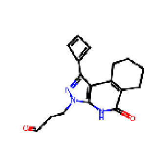 O=CCCn1nc(C2=CC=C2)c2c3c(c(=O)[nH]c21)CCCC3